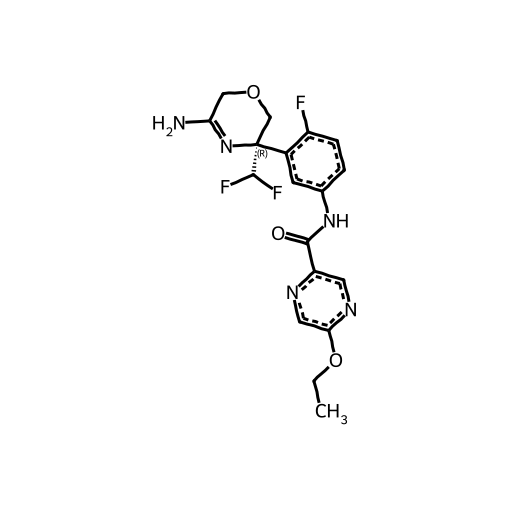 CCOc1cnc(C(=O)Nc2ccc(F)c([C@]3(C(F)F)COCC(N)=N3)c2)cn1